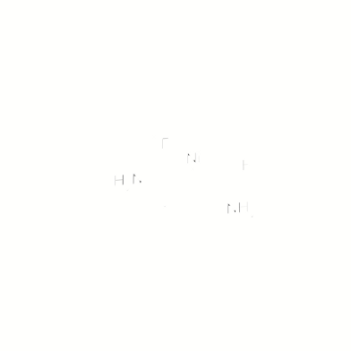 NCCN.[F][Ni][F]